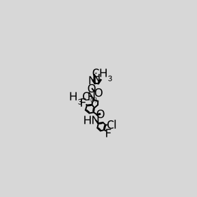 CN(C(=O)Oc1ccn(C)n1)[C@H]1CCc2c(C(=O)Nc3ccc(F)c(Cl)c3)ccc(F)c21